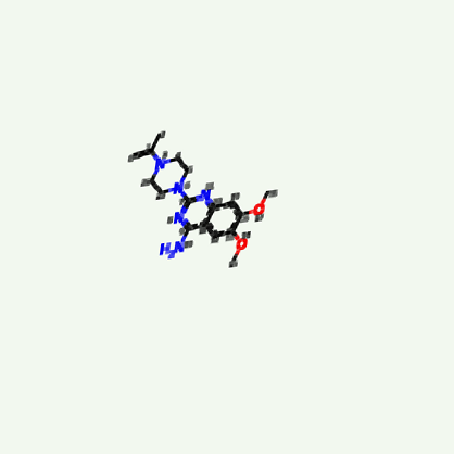 C=C(C)N1CCN(c2nc(N)c3cc(OC)c(OC)cc3n2)CC1